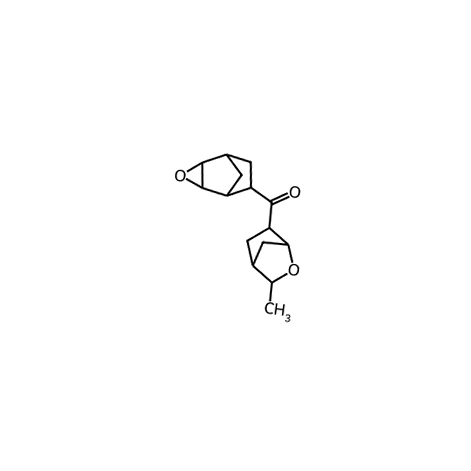 CC1OC2CC1CC2C(=O)C1CC2CC1C1OC21